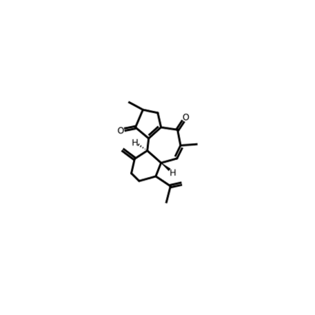 C=C(C)C1CCC(=C)[C@H]2C3=C(CC(C)C3=O)C(=O)C(C)=C[C@H]12